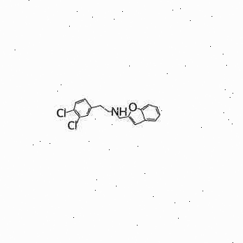 Clc1ccc(CCNCc2cc3ccccc3o2)cc1Cl